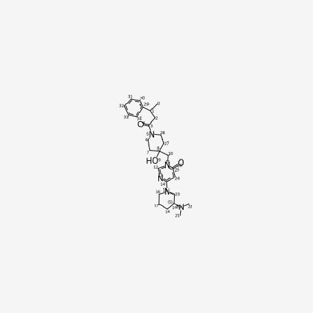 CC(CC(=O)N1CCC(O)(Cn2cnc(N3CCC[C@H](N(C)C)C3)cc2=O)CC1)c1ccccc1